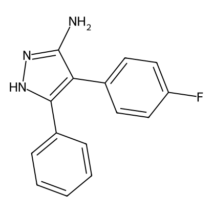 Nc1n[nH]c(-c2ccccc2)c1-c1ccc(F)cc1